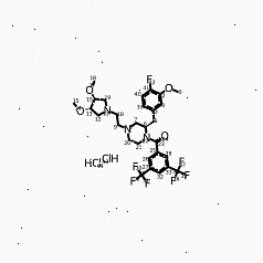 COc1cc(C[C@@H]2CN(CCN3C[C@H](OC)[C@@H](OC)C3)CCN2C(=O)c2cc(C(F)(F)F)cc(C(F)(F)F)c2)ccc1F.Cl.Cl